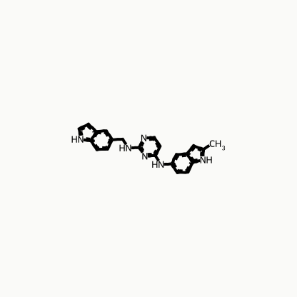 Cc1cc2cc(Nc3ccnc(NCc4ccc5[nH]ccc5c4)n3)ccc2[nH]1